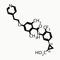 Cc1cc(OCCc2ccncc2)cc(C)c1C(=O)Nc1cc([C@H]2C[C@H]2C(=O)O)ccc1C(F)(F)F